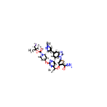 CC(Oc1cc(-n2cnc3cc(-c4cnn(C)c4)ccc32)sc1C(N)=O)c1ccnc(OC2CCN(C(=O)OC(C)(C)CI)CC2)n1